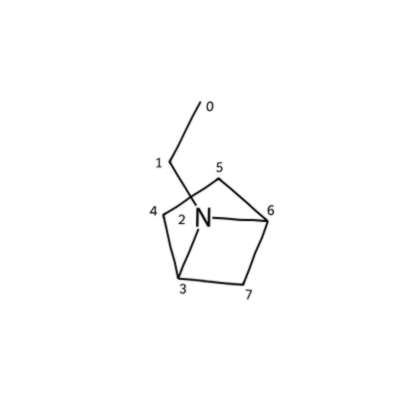 CCN1C2CCC1C2